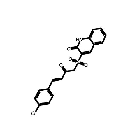 O=C(C=Cc1ccc(Cl)cc1)CS(=O)(=O)c1cc2ccccc2[nH]c1=O